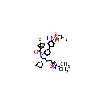 CC(C)c1noc(CCCC(CN(C(=O)C2CC3(F)CC2C3)c2cccc(-c3ccc(NS(C)(=O)=O)cc3)c2)C2CCCCC2)n1